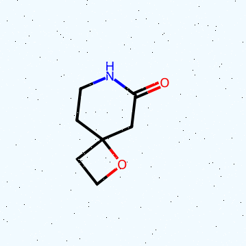 O=C1CC2(CCN1)CCO2